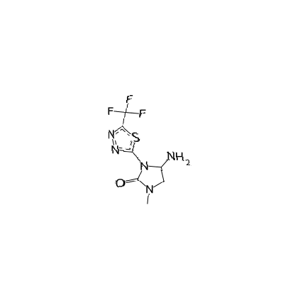 CN1CC(N)N(c2nnc(C(F)(F)F)s2)C1=O